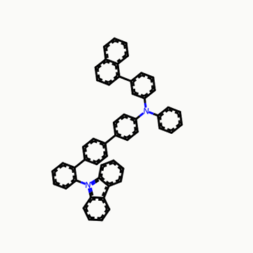 c1ccc(N(c2ccc(-c3ccc(-c4ccccc4-n4c5ccccc5c5ccccc54)cc3)cc2)c2cccc(-c3cccc4ccccc34)c2)cc1